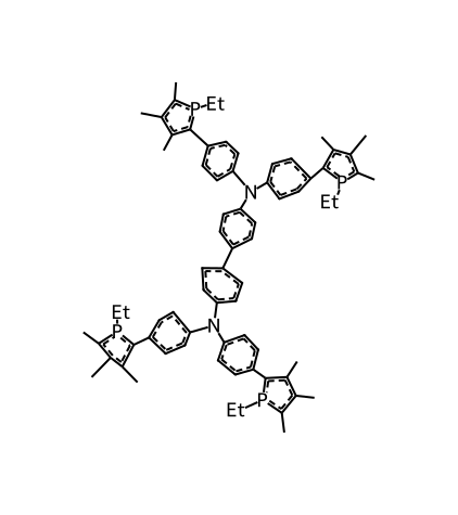 CCp1c(C)c(C)c(C)c1-c1ccc(N(c2ccc(-c3ccc(N(c4ccc(-c5c(C)c(C)c(C)p5CC)cc4)c4ccc(-c5c(C)c(C)c(C)p5CC)cc4)cc3)cc2)c2ccc(-c3c(C)c(C)c(C)p3CC)cc2)cc1